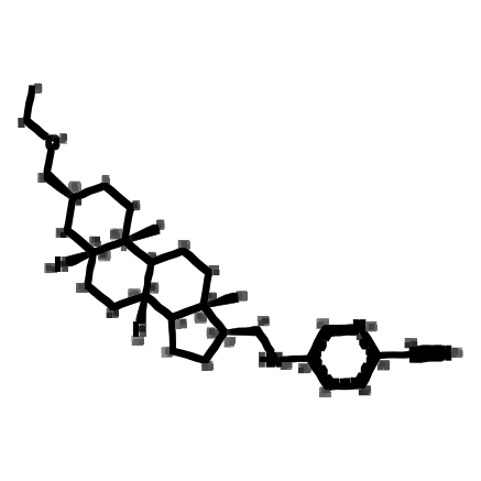 CCOC[C@H]1CC[C@]2(C)C3CC[C@@]4(C)C(CC[C@@H]4CNc4ccc(C#N)nc4)[C@@H]3CC[C@@H]2C1